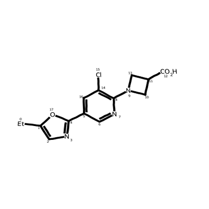 CCc1cnc(-c2cnc(N3CC(C(=O)O)C3)c(Cl)c2)o1